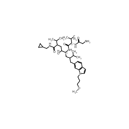 COCCCn1ccc2ccc(CC(C[C@H](NC(=O)[C@@H](NC(=O)CN)C(C)C)C(O)CC(C(=O)NCC3CC3)C(C)C)C(C)C)cc21